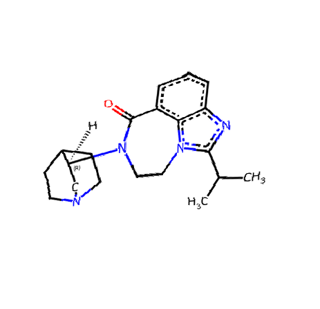 CC(C)c1nc2cccc3c2n1CCN([C@H]1CN2CCC1CC2)C3=O